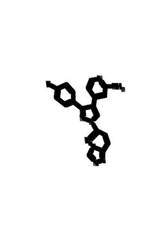 Nc1cc(-c2cn(-c3ccc4nncn4n3)nc2-c2ccc(F)cc2)ccn1